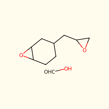 C1CC2OC2CC1CC1CO1.O=CO